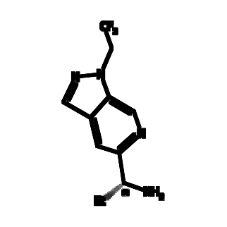 CC[C@@H](N)c1cc2cnn(CC(F)(F)F)c2cn1